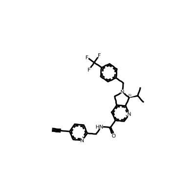 C#Cc1ccc(CNC(=O)c2cnc3c(c2)CN(Cc2ccc(C(F)(F)F)cc2)[C@H]3C(C)C)nc1